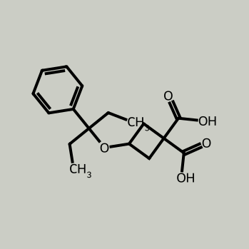 CCC(CC)(OC1CC(C(=O)O)(C(=O)O)C1)c1ccccc1